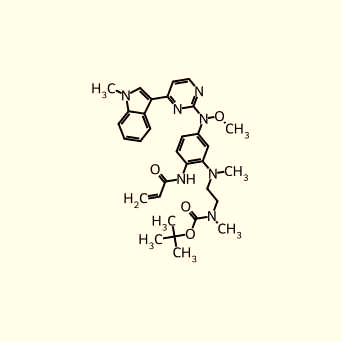 C=CC(=O)Nc1ccc(N(OC)c2nccc(-c3cn(C)c4ccccc34)n2)cc1N(C)CCN(C)C(=O)OC(C)(C)C